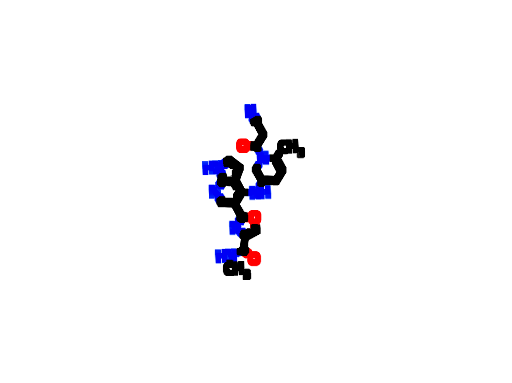 CNC(=O)c1coc(-c2cnc3[nH]ccc3c2NC2=CC=C(C)N(C(=O)CC#N)C2)n1